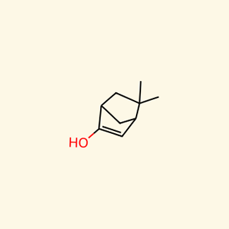 CC1(C)CC2CC1C=C2O